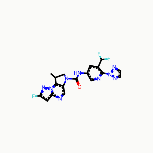 CC1CN(C(=O)Nc2cnc(-n3nccn3)c(C(F)F)c2)c2cnc3cc(F)nn3c21